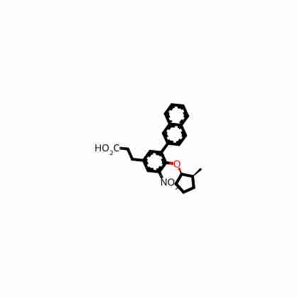 C[C@H]1CCC[C@H]1Oc1c(-c2ccc3ccccc3c2)cc(CCC(=O)O)cc1[N+](=O)[O-]